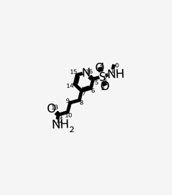 CNS(=O)(=O)c1cc(CCCC(N)=O)ccn1